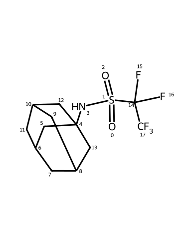 O=S(=O)(NC12CC3CC(CC(C3)C1)C2)C(F)(F)C(F)(F)F